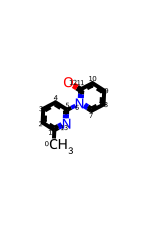 Cc1cccc(-n2ccccc2=O)n1